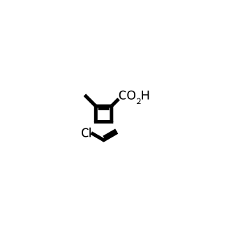 C=CCl.CC1=C(C(=O)O)CC1